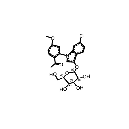 COc1ccc(C(C)=O)c(-n2cc(O[C@@H]3O[C@H](CO)[C@H](O)[C@H](O)[C@H]3O)c3ccc(Cl)cc32)c1